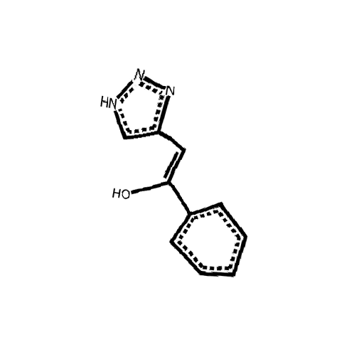 OC(=Cc1c[nH]nn1)c1ccccc1